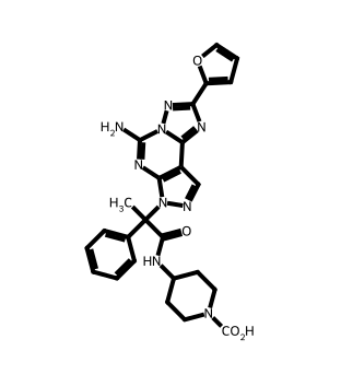 CC(C(=O)NC1CCN(C(=O)O)CC1)(c1ccccc1)n1ncc2c1nc(N)n1nc(-c3ccco3)nc21